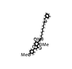 COc1ccc(-c2cc(=O)c3c(OC)c(C#CCCCCCCCCCCOCc4ccccc4)c(OC)cc3o2)cc1